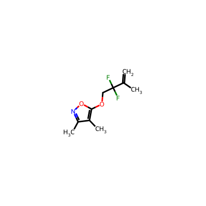 C=C(C)C(F)(F)COc1onc(C)c1C